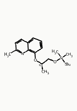 Cc1ccc2cccc(O[C@H](C)CO[Si](C)(C)C(C)(C)C)c2n1